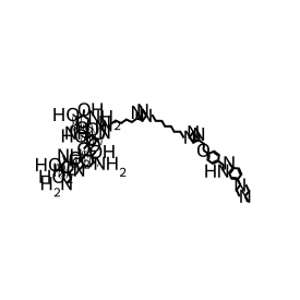 CN1CCN(c2ccc3nc(-c4ccc(OCc5cn(CCCCCCCCn6cc(CCCCc7cn(C[C@H]8OC(O[C@@H]9C(O)[C@H](N)CC(N)[C@H]9O[C@H]9OC(CN)[C@@H](O)[C@H](O)C9N)[C@@H](O)[C@H]8O[C@H]8O[C@@H](CN)[C@@H](O)C(O)C8N)nn7)nn6)nn5)cc4)[nH]c3c2)CC1